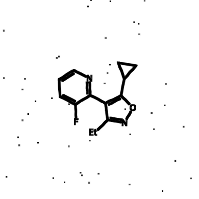 CCc1noc(C2CC2)c1-c1ncccc1F